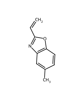 C=Cc1nc2cc(C)ccc2o1